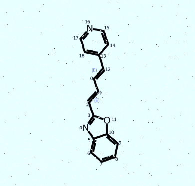 C(/C=C/c1nc2ccccc2o1)=C\c1ccncc1